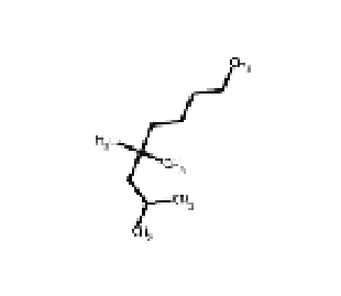 CCCCCC(C)(C)C[C](C)C